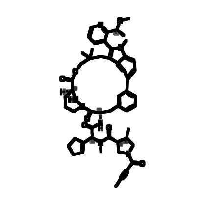 CC#CC(=O)N1C[C@H](C)[C@H](C(=O)N(C)[C@H](C(=O)N[C@H]2Cc3cccc(c3)-c3ccc4c(c3)c(c(-c3cccnc3[C@H](C)OC)n4C)CC(C)(C)COC(=O)[C@@H]3CCCN(N3)C2=O)C2=CCCC2)C1